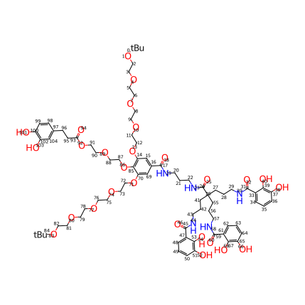 CC(C)(C)OCCOCCOCCOCCOc1cc(C(=O)NCCCNC(=O)C(CCCNC(=O)c2cccc(O)c2O)(CCCNC(=O)c2cccc(O)c2O)CCCNC(=O)c2cccc(O)c2O)cc(OCCOCCOCCOCCOC(C)(C)C)c1OCCOCCOC(=O)CCc1ccc(O)c(O)c1